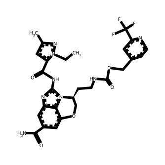 CCn1nc(C)cc1C(=O)Nc1nc2cc(C(N)=O)cc3c2n1[C@@H](CCNC(=O)OCc1ccnc(C(F)(F)F)c1)CO3